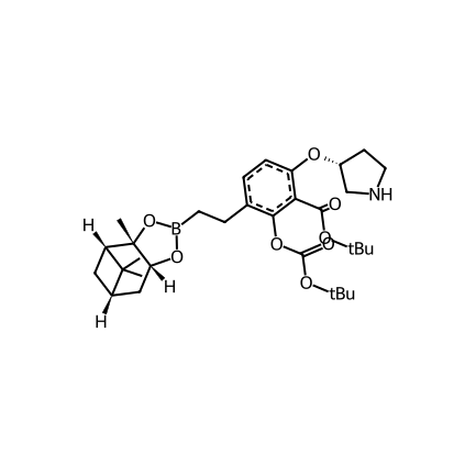 CC(C)(C)OC(=O)Oc1c(CCB2O[C@@H]3C[C@@H]4C[C@@H](C4(C)C)[C@]3(C)O2)ccc(O[C@@H]2CCNC2)c1C(=O)OC(C)(C)C